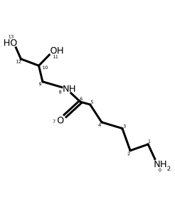 NCCCCCC(=O)NCC(O)CO